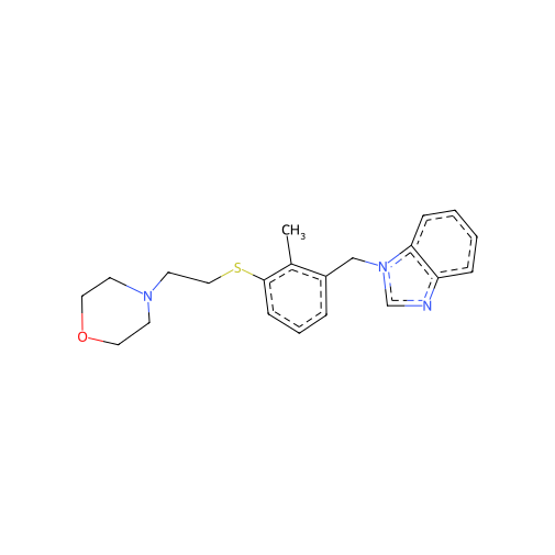 Cc1c(Cn2cnc3ccccc32)cccc1SCCN1CCOCC1